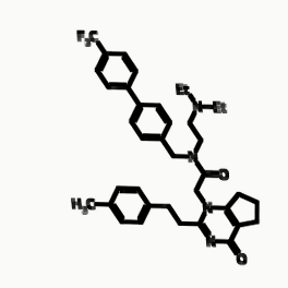 CCN(CC)CCN(Cc1ccc(-c2ccc(C(F)(F)F)cc2)cc1)C(=O)Cn1c(CCc2ccc(C)cc2)nc(=O)c2c1CCC2